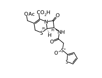 CC(=O)OCC1=C(C(=O)O)N2C(=O)[C@@H](NC(=O)C[S+]([O-])c3cccs3)[C@H]2SC1